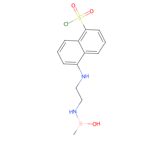 CB(O)NCCNc1cccc2c(S(=O)(=O)Cl)cccc12